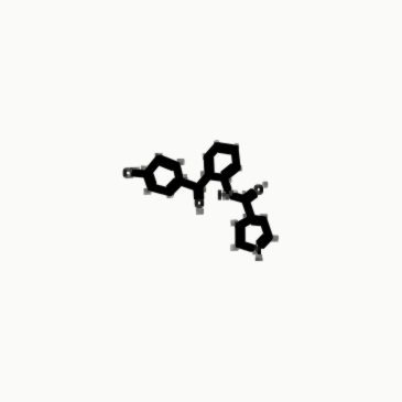 O=C(Nc1ccccc1C(=O)c1ccc(Cl)cc1)c1ccncc1